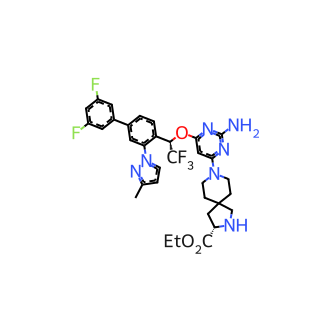 CCOC(=O)[C@@H]1CC2(CCN(c3cc(O[C@H](c4ccc(-c5cc(F)cc(F)c5)cc4-n4ccc(C)n4)C(F)(F)F)nc(N)n3)CC2)CN1